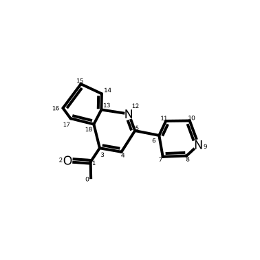 CC(=O)c1cc(-c2ccncc2)nc2ccccc12